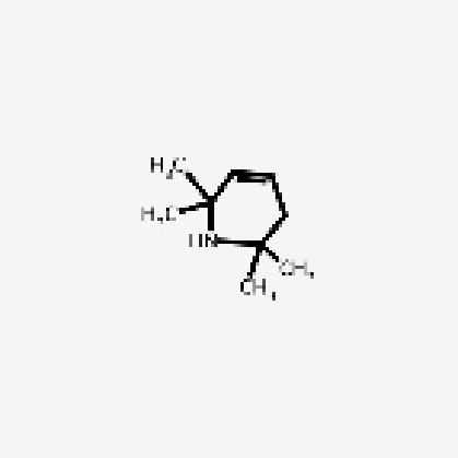 CC1(C)C=[C]CC(C)(C)N1